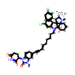 CN1C(C(=O)O)[C@H](c2cccc(Cl)c2F)C2(C(=O)N(CCCCCCCC#Cc3ccc4c(c3)n(C)c(=O)n4C3CCC(=O)NC3=O)c3cc(Cl)ccc32)C12CCCCC2